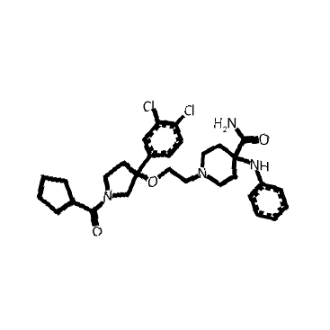 NC(=O)C1(Nc2ccccc2)CCN(CCOC2(c3ccc(Cl)c(Cl)c3)CCN(C(=O)C3CCCC3)C2)CC1